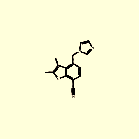 Cc1oc2c(C#N)ccc(Cn3ccnc3)c2c1C